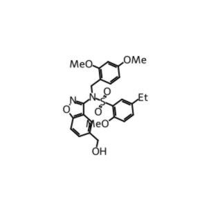 CCc1ccc(OC)c(S(=O)(=O)N(Cc2ccc(OC)cc2OC)c2noc3ccc(CO)cc23)c1